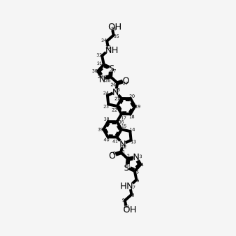 O=C(c1ncc(CNCCO)s1)N1CCc2c(-c3cccc4c3CCN4C(=O)c3ncc(CNCCO)s3)cccc21